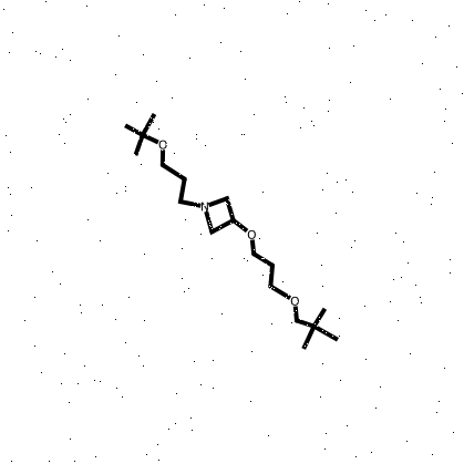 CC(C)(C)COCCCOC1CN(CCCOC(C)(C)C)C1